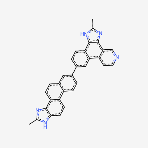 Cc1nc2c(ccc3c4ccc(-c5ccc6c(c5)c5ccncc5c5nc(C)[nH]c65)cc4ccc32)[nH]1